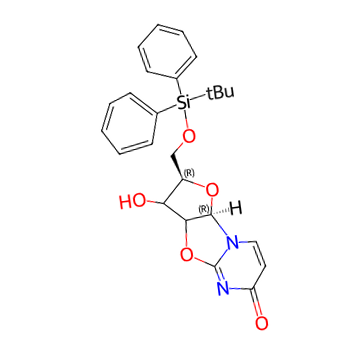 CC(C)(C)[Si](OC[C@H]1O[C@@H]2C(Oc3nc(=O)ccn32)C1O)(c1ccccc1)c1ccccc1